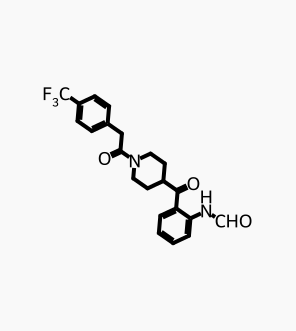 O=CNc1ccccc1C(=O)C1CCN(C(=O)Cc2ccc(C(F)(F)F)cc2)CC1